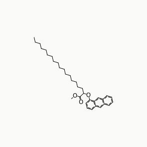 CCCCCCCCCCCCCCCCCC(Oc1cccc2cc3ccccc3cc12)C(=O)OC